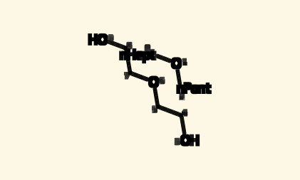 CCCCCCCOCCCCC.OCCOCCO